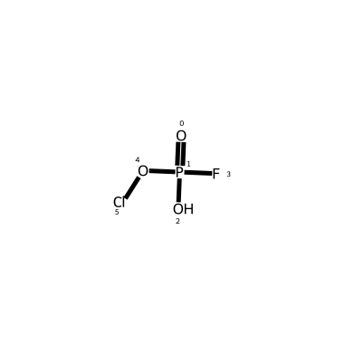 O=P(O)(F)OCl